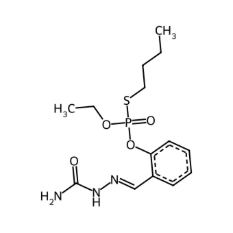 CCCCSP(=O)(OCC)Oc1ccccc1C=NNC(N)=O